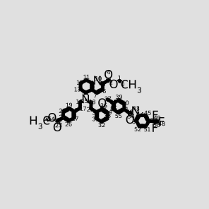 CCOC(=O)c1ccc2c(n1)CCCC2N(CCc1ccc(C(=O)OC)cc1)CCc1ccccc1OCc1ccc(-c2nc3cc(C(F)(F)F)ccc3o2)cc1